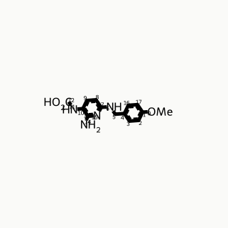 COc1ccc(CNc2ccc(NC(=O)O)c(N)n2)cc1